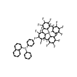 Fc1c(F)c(F)c([B-](c2c(F)c(F)c(F)c(F)c2F)(c2c(F)c(F)c(F)c(F)c2F)c2c(F)c(F)c(F)c(F)c2F)c(F)c1F.c1ccc([S+](c2ccccc2)c2cccc3ccccc23)cc1